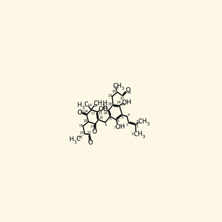 CC(C)=CCc1c(O)c(CC2=C(O)C(C)(C)C(=O)C(C[C@@H](C)C=O)C2=O)c(O)c(C[C@@H](C)C=O)c1O